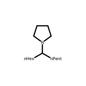 CCCCCCC(CCCCC)N1CCCC1